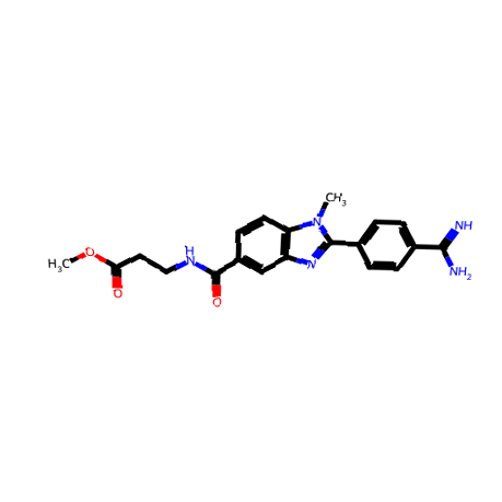 COC(=O)CCNC(=O)c1ccc2c(c1)nc(-c1ccc(C(=N)N)cc1)n2C